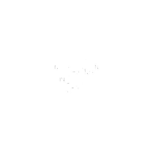 CCOC(=O)C1=C(C)NC(CCN(C)C)=C(C(=O)OCC)C1c1cccc([N+](=O)[O-])c1.c1ccc2c(c1)CNC2